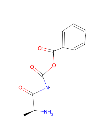 C[C@H](N)C(=O)[N]C(=O)OC(=O)c1ccccc1